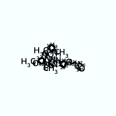 COc1ccc(N(C(=O)Oc2c(C)cccc2C)c2ccnc(Nc3cccc(OCCN4CCOCC4)c3)n2)c(OC)c1